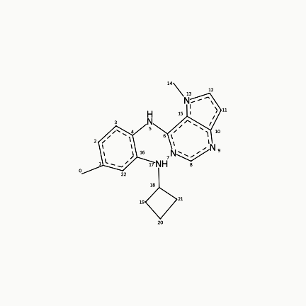 Cc1ccc(Nc2ncnc3ccn(C)c23)c(NC2CCC2)c1